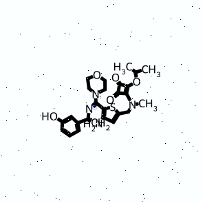 C=C(/N=C(\c1sc(CN(C)c2c(OC(C)C)c(=O)c2=O)cc1N)N1CCOCC1)c1cccc(O)c1